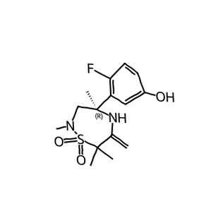 C=C1N[C@](C)(c2cc(O)ccc2F)CN(C)S(=O)(=O)C1(C)C